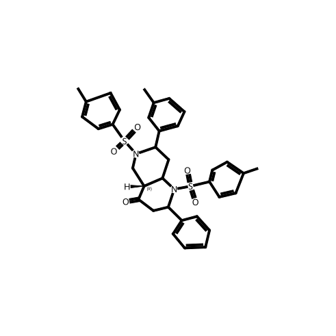 Cc1ccc(S(=O)(=O)N2C[C@H]3C(=O)CC(c4ccccc4)N(S(=O)(=O)c4ccc(C)cc4)C3CC2c2cccc(C)c2)cc1